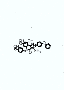 COc1ccc(Cn2c(=O)c3c(N)n(-c4ccc(Oc5ccccc5)cc4)nc3c3c(O)cc(OC)cc32)cc1